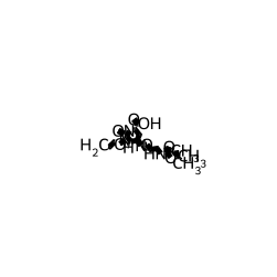 C=CCON1C(=O)N2C[C@H]1C(=NOCCNC(=O)OC(C)(C)C)C[C@H]2C(=O)O